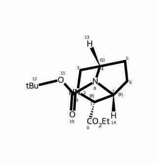 CCOC(=O)[C@@H]1NC[C@@H]2CC[C@H]1N2C(=O)OC(C)(C)C